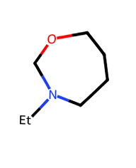 [CH2]CN1CCCCOC1